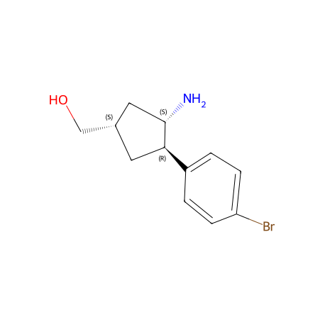 N[C@H]1C[C@@H](CO)C[C@@H]1c1ccc(Br)cc1